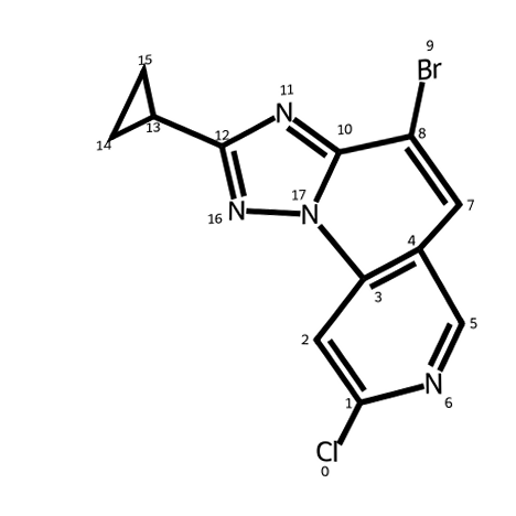 Clc1cc2c(cn1)cc(Br)c1nc(C3CC3)nn12